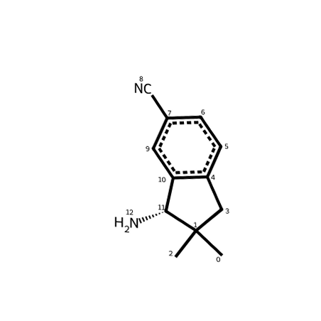 CC1(C)Cc2ccc(C#N)cc2[C@H]1N